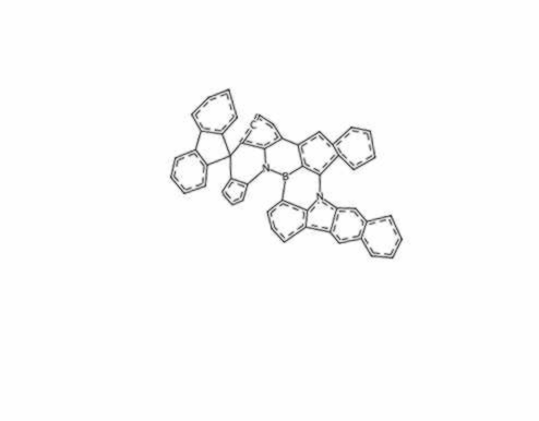 c1ccc2c(c1)-c1ccccc1C21c2ccccc2N2B3c4c(cc5ccccc5c4-n4c5cc6ccccc6cc5c5cccc3c54)-c3cccc1c32